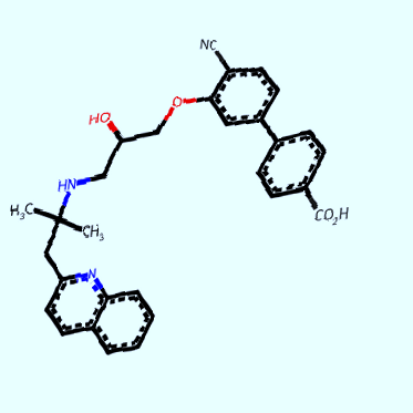 CC(C)(Cc1ccc2ccccc2n1)NCC(O)COc1cc(-c2ccc(C(=O)O)cc2)ccc1C#N